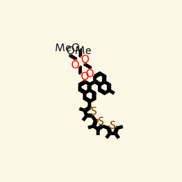 COCCOCCOc1ccc2cc(C)ccc2c1-c1c(OCCOCCOC)ccc2cc(-c3sc(-c4sc(-c5sc(C)c(C)c5C)c(C)c4C)c(C)c3C)ccc12